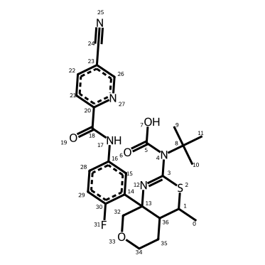 CC1SC(N(C(=O)O)C(C)(C)C)=NC2(c3cc(NC(=O)c4ccc(C#N)cn4)ccc3F)COCCC12